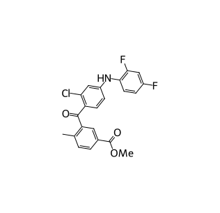 COC(=O)c1ccc(C)c(C(=O)c2ccc(Nc3ccc(F)cc3F)cc2Cl)c1